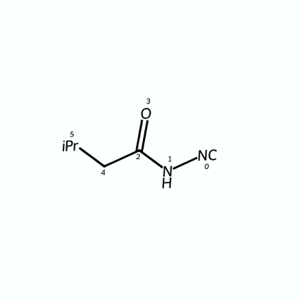 [C-]#[N+]NC(=O)CC(C)C